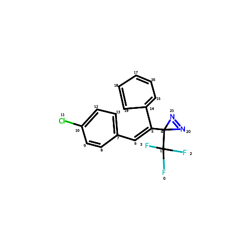 FC(F)(F)C1(C(=Cc2ccc(Cl)cc2)c2ccccc2)N=N1